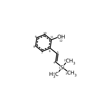 C[Si](C)(C)C=Cc1ccccc1O